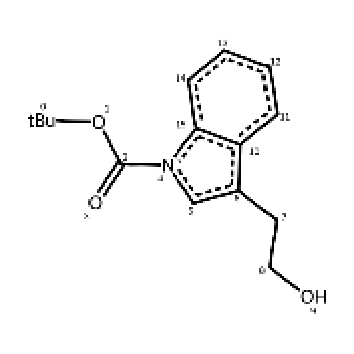 CC(C)(C)OC(=O)n1cc(CCO)c2ccccc21